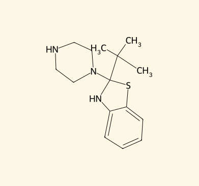 CC(C)(C)C1(N2CCNCC2)Nc2ccccc2S1